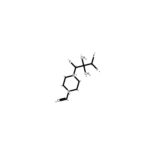 CC(C)(C(F)F)C(F)N1CCN(C=O)CC1